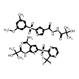 CC(C)(O)C(=O)Nc1sc(S(=O)(=O)c2nccnc2C(F)(F)F)cc1C(N)=O.COc1cc(C)cc(S(=O)(=O)c2cc(C(=O)NNC(=O)C(C)(C)O)cs2)c1